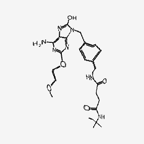 COCCOc1nc(N)c2nc(O)n(Cc3ccc(CNC(=O)CCC(=O)NC(C)(C)C)cc3)c2n1